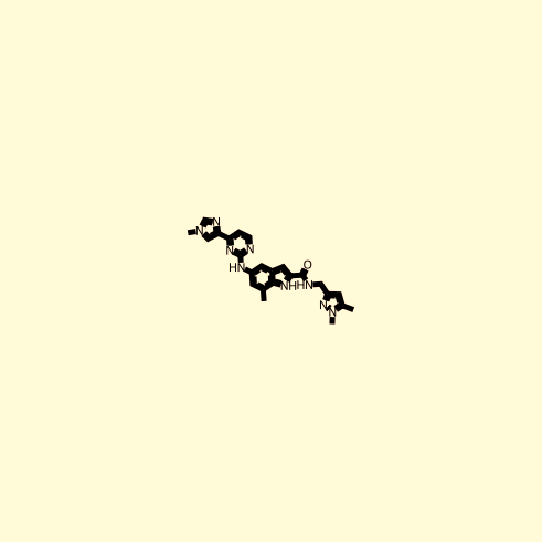 Cc1cc(Nc2nccc(-c3cn(C)cn3)n2)cc2cc(C(=O)NCc3cc(C)n(C)n3)[nH]c12